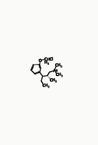 CCC(c1cccc(OC)c1)[C@@H](C)C[As](C)C.Cl